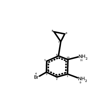 Nc1cc(Br)cc(C2CC2)c1N